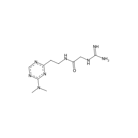 CN(C)c1ncnc(CCNC(=O)CNC(=N)N)n1